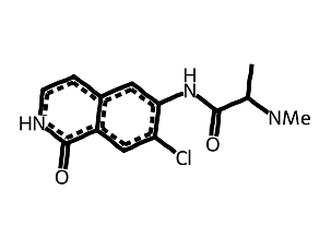 CNC(C)C(=O)Nc1cc2cc[nH]c(=O)c2cc1Cl